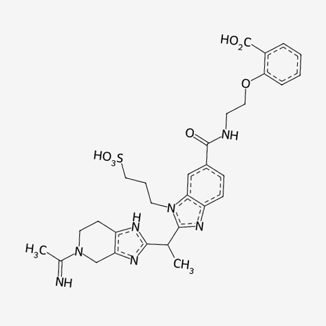 CC(=N)N1CCc2[nH]c(C(C)c3nc4ccc(C(=O)NCCOc5ccccc5C(=O)O)cc4n3CCCS(=O)(=O)O)nc2C1